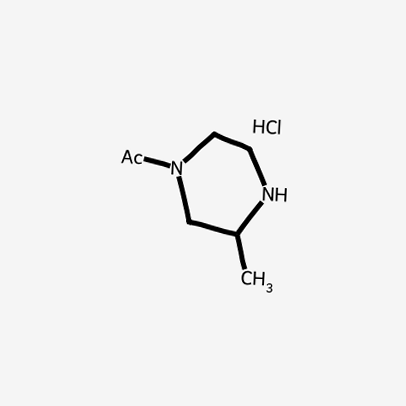 CC(=O)N1CCNC(C)C1.Cl